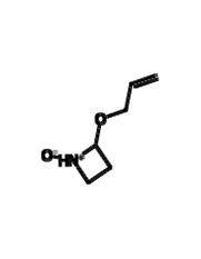 C=CCOC1CC[NH+]1[O-]